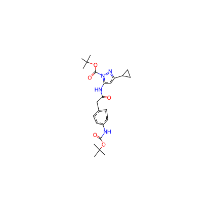 CC(C)(C)OC(=O)Nc1ccc(CC(=O)Nc2cc(C3CC3)nn2C(=O)OC(C)(C)C)cc1